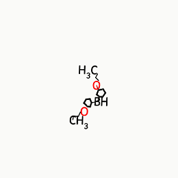 CCCCOc1cccc(Bc2cccc(OCCCC)c2)c1